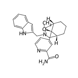 CO[C@]1(c2ccnc(C(N)=O)c2)[C@@H]2CCC[C@H]1CN(Cc1cc3ccccc3[nH]1)C2